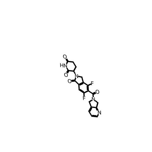 O=C1CCC(N2Cc3c(cc(F)c(C(=O)N4Cc5cccnc5C4)c3F)C2=O)C(=O)N1